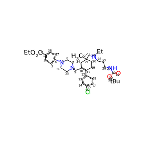 CCOC(=O)c1ccc(N2CCN(CC3=C(c4ccc(Cl)cc4)CCC(C)(CN(CC)CCCNC(=O)OC(C)(C)C)C3)CC2)cc1